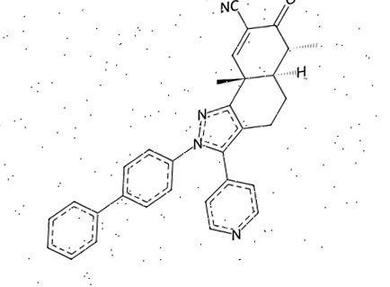 C[C@H]1C(=O)C(C#N)=C[C@@]2(C)c3nn(-c4ccc(-c5ccccc5)cc4)c(-c4ccncc4)c3CC[C@H]12